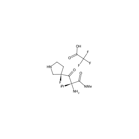 CNC(=O)[C@](N)(C(=O)[C@@]1(F)CCNC1)C(C)C.O=C(O)C(F)(F)F